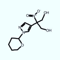 O=[N+]([O-])C(CO)(CO)c1cnn(C2CCCCO2)c1